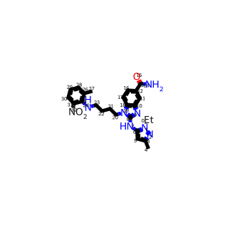 CCn1nc(C)cc1Nc1nc2cc(C(N)=O)ccc2n1CCCCNc1c(C)cccc1[N+](=O)[O-]